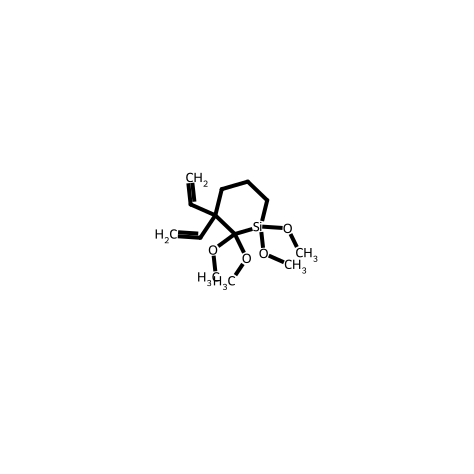 C=CC1(C=C)CCC[Si](OC)(OC)C1(OC)OC